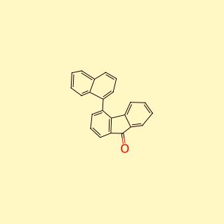 O=C1c2ccccc2-c2c1cccc2-c1cccc2ccccc12